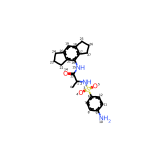 CC(NS(=O)(=O)c1ccc(N)cc1)C(=O)Nc1c2c(cc3c1CCC3)CCC2